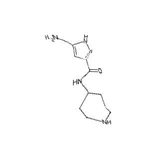 Nc1cc(C(=O)NC2CCNCC2)n[nH]1